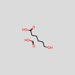 O=C(O)CCCCCO.O=CO